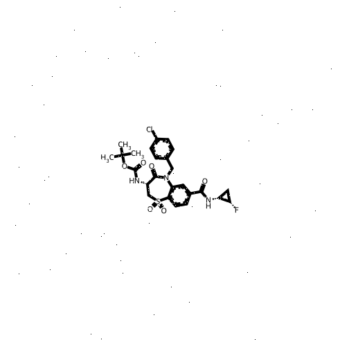 CC(C)(C)OC(=O)N[C@H]1CS(=O)(=O)c2ccc(C(=O)N[C@@H]3C[C@@H]3F)cc2N(Cc2ccc(Cl)cc2)C1=O